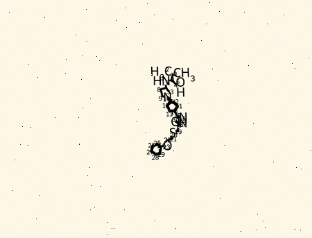 CC(C)C(CO)NC1CCN(c2ccc(-c3nnc(CSCCOc4ccccc4)o3)cc2)C1